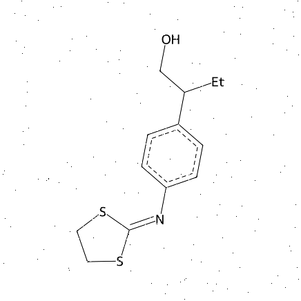 CCC(CO)c1ccc(N=C2SCCS2)cc1